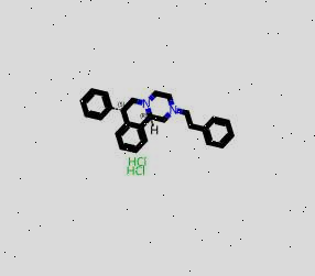 Cl.Cl.c1ccc(CCN2CCN3C[C@@H](c4ccccc4)c4ccccc4[C@@H]3C2)cc1